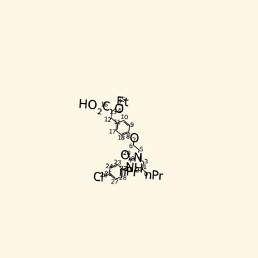 CCCC(CCC)CN(CCOc1ccc(CC(OCC)C(=O)O)cc1)C(=O)Nc1ccc(Cl)cc1